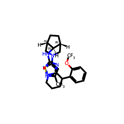 Cc1cc(N2C[C@H]3CC[C@@H](C2)[C@@H]3Nc2nc3n(n2)CCCC3c2ccccc2OC(F)(F)F)sn1